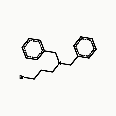 BrCCCN(Cc1ccccc1)Cc1ccccc1